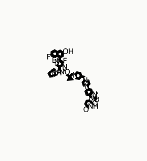 CCc1c(F)ccc2cc(O)cc(-c3ncc4c(N5CC6CCC(C5)N6)nc(OCC5(CN6CCC(CN7CCN(c8ccc9c(c8)n(C)c(=O)n9C8CCC(=O)NC8=O)CC7)CC6)CC5)nc4c3F)c12